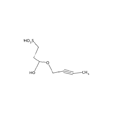 CC#CCOC(O)CCS(=O)(=O)O